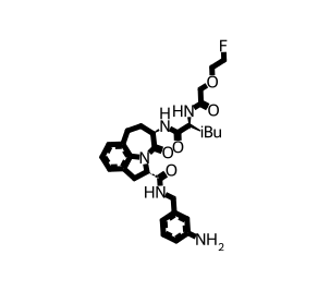 CC[C@H](C)[C@H](NC(=O)COCCF)C(=O)N[C@H]1CCc2cccc3c2N(C1=O)[C@H](C(=O)NCc1cccc(N)c1)C3